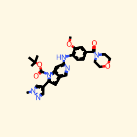 COc1cc(C(=O)N2CCOCC2)ccc1Nc1cc2c(cn1)cc(-c1cnn(C)c1)n2C(=O)OC(C)(C)C